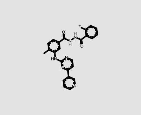 Cc1ccc(C(=O)NNC(=O)c2ccccc2F)cc1Nc1nccc(-c2cccnc2)n1